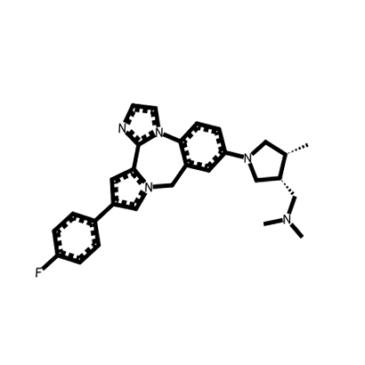 C[C@H]1CN(c2ccc3c(c2)Cn2cc(-c4ccc(F)cc4)cc2-c2nccn2-3)C[C@H]1CN(C)C